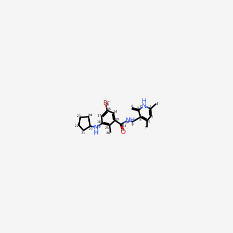 C=C1NC(C)=CC(C)=C1CNC(=O)c1cc(Br)cc(NC2CCCC2)c1C